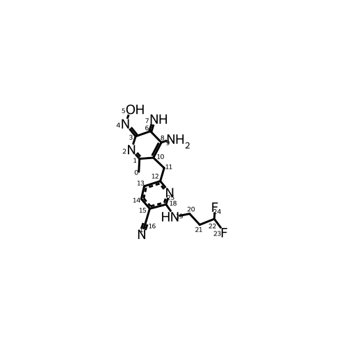 CC1=N/C(=N/O)C(=N)C(N)=C1Cc1ccc(C#N)c(NCCC(F)F)n1